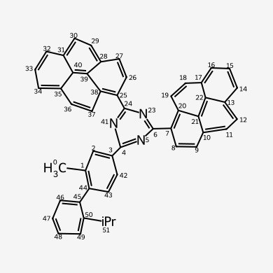 Cc1cc(-c2nc(-c3ccc4ccc5cccc6ccc3c4c56)nc(-c3ccc4ccc5cccc6ccc3c4c56)n2)ccc1-c1ccccc1C(C)C